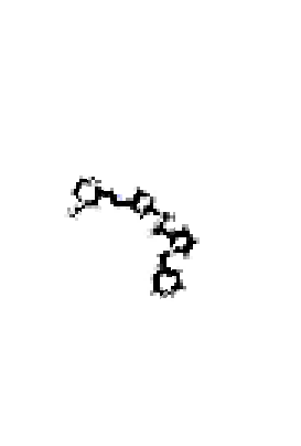 CC(=O)N1CCOC(/C=C/c2csc(NC(=O)c3cccn3Cc3ccncc3)n2)C1